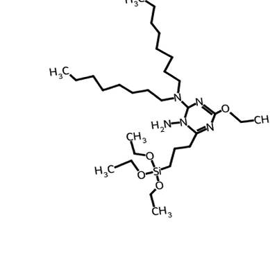 CCCCCCCCN(CCCCCCCC)C1N=C(OCC)N=C(CCC[Si](OCC)(OCC)OCC)N1N